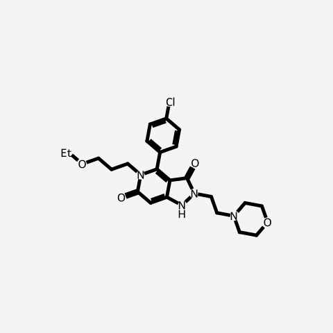 CCOCCCn1c(-c2ccc(Cl)cc2)c2c(=O)n(CCN3CCOCC3)[nH]c2cc1=O